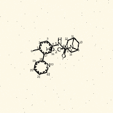 Cc1ccc(NC(=O)N2C3CC2CN(C(=O)O)C3)cc1-c1ccccn1